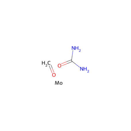 C=O.NC(N)=O.[Mo]